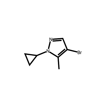 Cc1c(Br)cnn1C1CC1